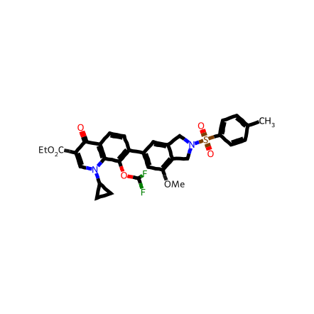 CCOC(=O)c1cn(C2CC2)c2c(OC(F)F)c(-c3cc4c(c(OC)c3)CN(S(=O)(=O)c3ccc(C)cc3)C4)ccc2c1=O